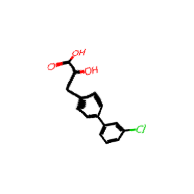 O=C(O)C(O)Cc1ccc(-c2cccc(Cl)c2)cc1